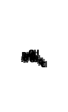 O=C(O)C1(NS(=O)(=O)C2CC=C(c3ccc(Cl)cc3)S2)CC1c1ccccc1Br